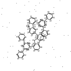 c1ccc(-c2nc(-c3ccccc3)nc(-c3cccc4c3Cc3c(-c5ccc6oc7cccc(-c8nc(-c9ccccc9)nc(-c9ccccc9)n8)c7c6c5)cccc3-4)n2)cc1